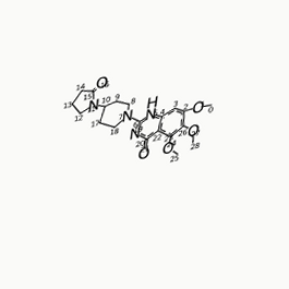 COc1cc2[nH]c(N3CCC(N4CCCC4=O)CC3)nc(=O)c2c(OC)c1OC